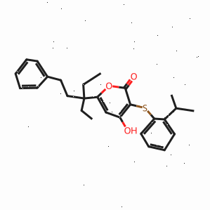 CCC(CC)(CCc1ccccc1)c1cc(O)c(Sc2ccccc2C(C)C)c(=O)o1